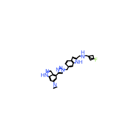 FC12CC(CNCc3cc4ccc(Cn5cc(-c6cc(N7CC7)cc7[nH]ncc67)nn5)cc4[nH]3)(C1)C2